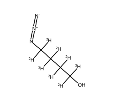 [2H]C([2H])(O)C([2H])([2H])C([2H])([2H])C([2H])([2H])N=[N+]=[N-]